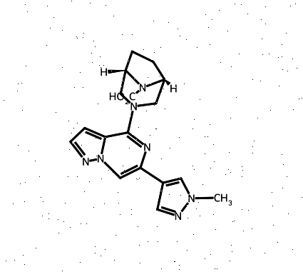 Cn1cc(-c2cn3nccc3c(N3C[C@H]4CC[C@@H](C3)N4C(=O)O)n2)cn1